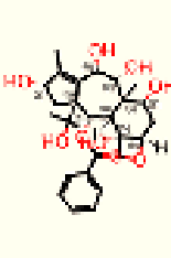 CC1=C2[C@@H](O)[C@H](O)[C@@]3(C)[C@H]([C@H](OC(=O)c4ccccc4)[C@]2(C(C)(C)O)C[C@@H]1O)[C@]1(O)CO[C@@H]1C[C@@H]3O